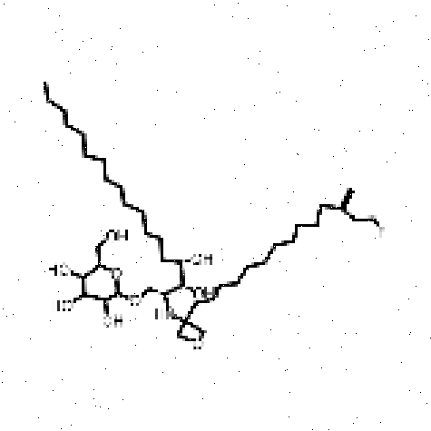 C=C(CCF)CCCCCCCCCCCC1(N[C@@H](COC2OC(CO)C(O)C(O)C2O)[C@H](O)[C@H](O)CCCCCCCCCCCCCC)COC1